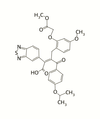 COC(=O)COc1cc(OC)ccc1CC(C(=O)c1ccc(OC(C)C)cc1)=C(C(=O)O)c1ccc2nsnc2c1